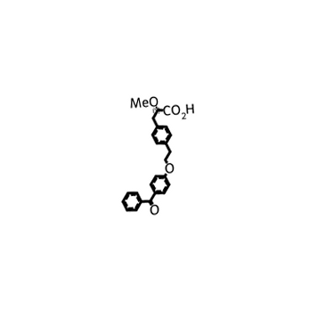 CO[C@@H](Cc1ccc(CCOc2ccc(C(=O)c3ccccc3)cc2)cc1)C(=O)O